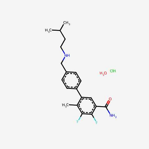 Cc1c(-c2ccc(CNCCC(C)C)cc2)cc(C(N)=O)c(F)c1F.Cl.O